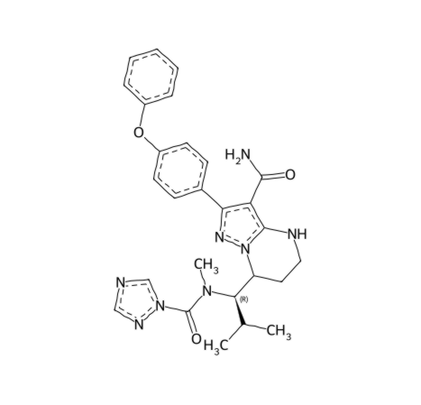 CC(C)[C@H](C1CCNc2c(C(N)=O)c(-c3ccc(Oc4ccccc4)cc3)nn21)N(C)C(=O)n1cncn1